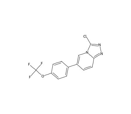 FC(F)(F)Oc1ccc(-c2ccc3nnc(Cl)n3c2)cc1